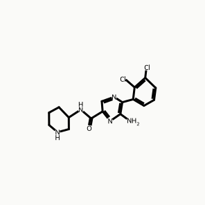 Nc1nc(C(=O)NC2CCCNC2)cnc1-c1cccc(Cl)c1Cl